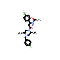 CC(=O)NC(CC(=O)N1CC(C)N(Cc2ccc(F)cc2)CC1C)c1ccc(Cl)cc1